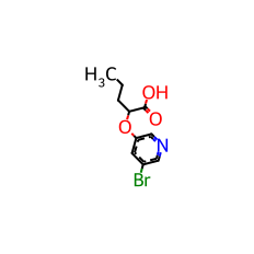 CCCC(Oc1cncc(Br)c1)C(=O)O